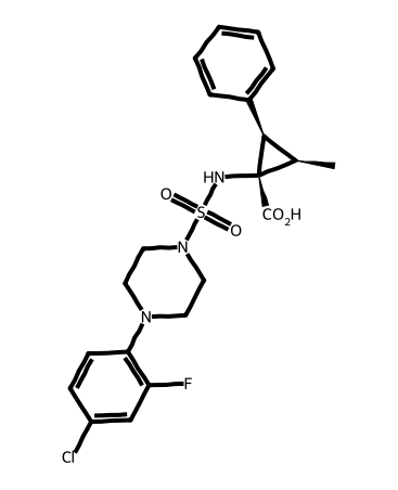 C[C@@H]1[C@H](c2ccccc2)[C@]1(NS(=O)(=O)N1CCN(c2ccc(Cl)cc2F)CC1)C(=O)O